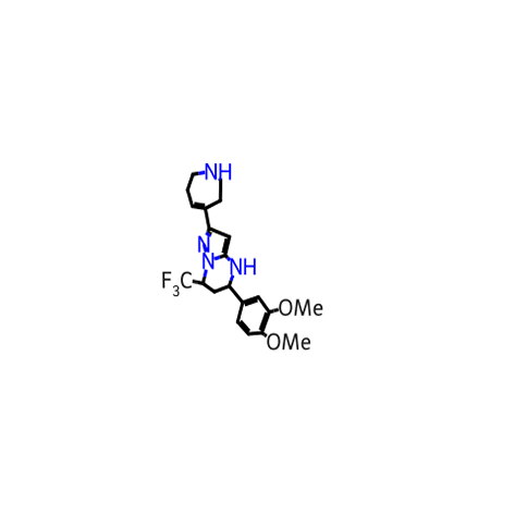 COc1ccc(C2CC(C(F)(F)F)n3nc(C4=CCCNCC4)cc3N2)cc1OC